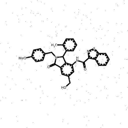 COc1ccc(CN2C(=O)c3cc(CO)cc(NC(=O)c4nsc5ccccc45)c3C2c2ccccc2C)cc1